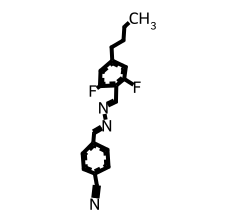 CCCCc1cc(F)c(C=NN=Cc2ccc(C#N)cc2)c(F)c1